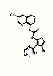 N=C(/N=C\N)c1c(Br)csc1NC(=O)Cc1cccc2cc(C(F)(F)F)cnc12